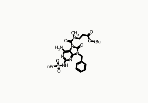 CCCS(=O)(=O)Nc1nc(N)c2c(n1)n(Cc1ccccc1)c(=O)n2C(=O)N(C)CCC(=O)OC(C)(C)C